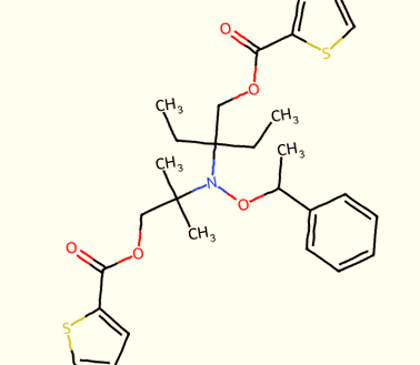 CCC(CC)(COC(=O)c1cccs1)N(OC(C)c1ccccc1)C(C)(C)COC(=O)c1cccs1